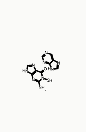 Nc1nc2[nH]cnc2c(=O)n1S.c1ncc2nc[nH]c2n1